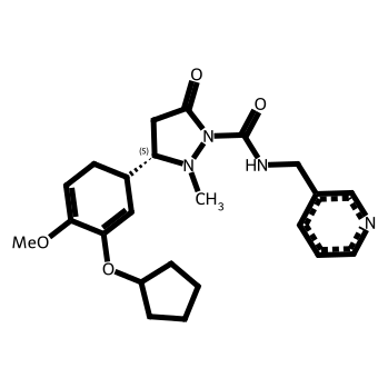 COC1=CCC([C@@H]2CC(=O)N(C(=O)NCc3cccnc3)N2C)C=C1OC1CCCC1